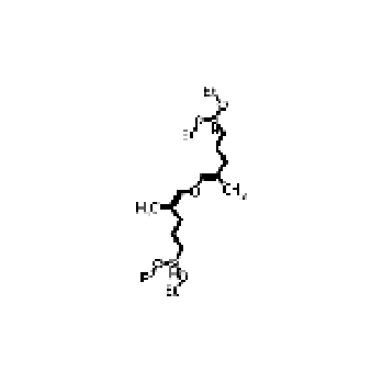 CCO[SiH](CCCC(C)=COC=C(C)CCC[SiH](OCC)OCC)OCC